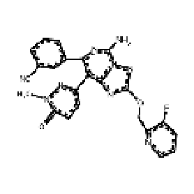 Cn1nc(-c2c(-c3cccc(C#N)c3)nc(N)n3nc(OCc4ncccc4F)nc23)ccc1=O